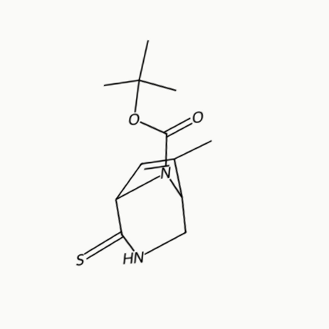 CC1=CC2C(=S)NCC1N2C(=O)OC(C)(C)C